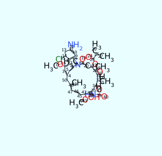 COc1cc2cc(c1C1=CC=C(N)CC1Cl)N(C)C(=O)C[C@H](OC(=O)C(C)C)[C@]1(C)O[C@H]1[C@H](C)[C@@H]1C[C@@](O)(NC(=O)O1)[C@H](OC)/C=C/C=C(\C)C2